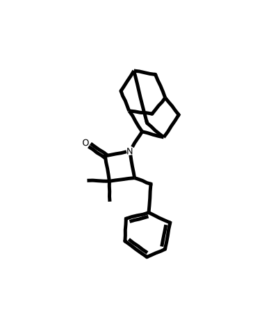 CC1(C)C(=O)N(C2C3CC4CC(C3)CC2C4)C1Cc1ccccc1